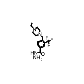 CCN1CCN(Cc2ccc(C(=O)NN)cc2C(F)(F)F)CC1